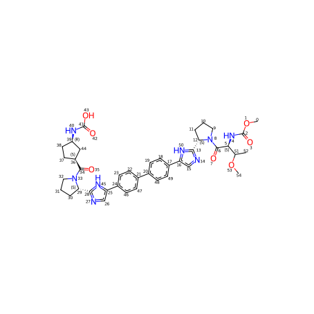 COC(=O)N[C@H](C(=O)N1CCC[C@H]1c1ncc(-c2ccc(-c3ccc(-c4cnc([C@@H]5CCCN5C(=O)[C@H]5CC[C@@H](NC(=O)O)C5)[nH]4)cc3)cc2)[nH]1)C(C)OC